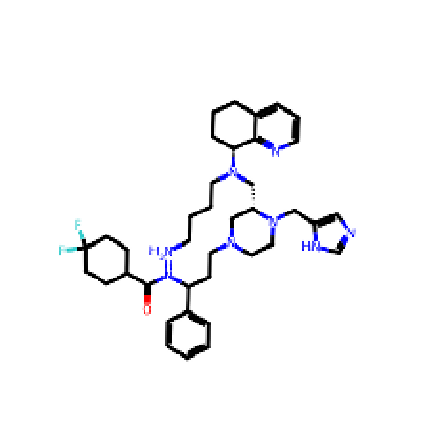 NCCCCN(C[C@H]1CN(CCC(NC(=O)C2CCC(F)(F)CC2)c2ccccc2)CCN1Cc1cnc[nH]1)[C@H]1CCCc2cccnc21